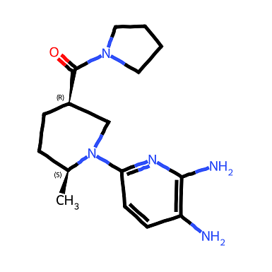 C[C@H]1CC[C@@H](C(=O)N2CCCC2)CN1c1ccc(N)c(N)n1